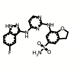 NS(=O)(=O)c1cc2c(c(Nc3nccc(Nc4n[nH]c5ccc(F)cc45)n3)c1)OCC2